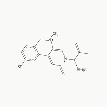 C=C/C=C(\C(=C/N(C)C(CCCCCCC)C(=C)C)CC)c1cc(Cl)ccc1CCC(F)(F)F